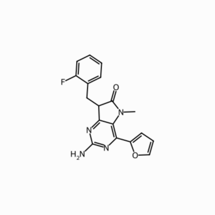 CN1C(=O)C(Cc2ccccc2F)c2nc(N)nc(-c3ccco3)c21